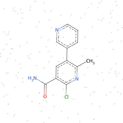 Cc1nc(Cl)c(C(N)=O)cc1-c1cccnc1